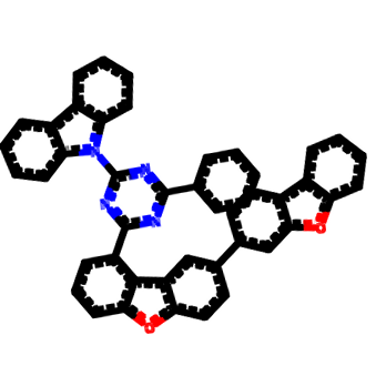 c1ccc(-c2nc(-c3cccc4oc5ccc(-c6ccc7c(c6)oc6ccccc67)cc5c34)nc(-n3c4ccccc4c4ccccc43)n2)cc1